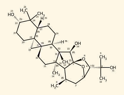 C[C@@H]1CC2O[C@]3(O[C@@H]2C(C)(C)O)C1[C@@]1(C)CC[C@@]24C[C@@]25CC[C@H](O)C(C)(C)[C@@H]5CC[C@H]4[C@]1(C)[C@H]3O